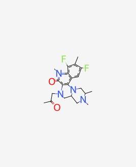 CC(=O)CN1CC2CN(C)C(C)CN2c2c1c(=O)n(C)c1c(F)c(C)c(F)cc21